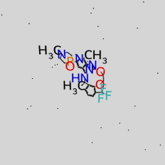 Cc1nc(P2(=O)CCN(C)CC2)cc2c3nc(nc12)OCCOc1c(cccc1C(F)(F)F)[C@@H](C)N3